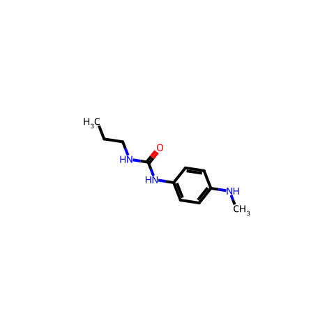 CCCNC(=O)Nc1ccc(NC)cc1